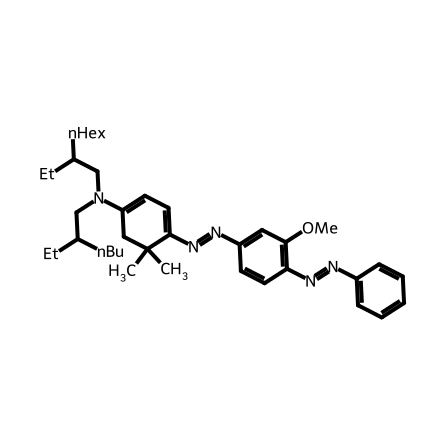 CCCCCCC(CC)CN(CC(CC)CCCC)C1=CC=C(/N=N/c2ccc(/N=N/c3ccccc3)c(OC)c2)C(C)(C)C1